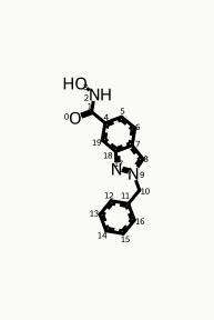 O=C(NO)c1ccc2cn(Cc3ccccc3)nc2c1